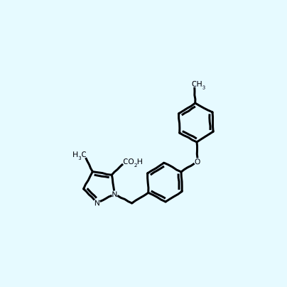 Cc1ccc(Oc2ccc(Cn3ncc(C)c3C(=O)O)cc2)cc1